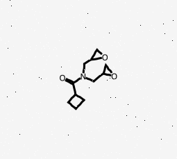 O=C(C1CCC1)N(CC1CO1)CC1CO1